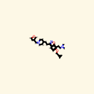 CN(C)CCc1c(OCC2CC2)ccc2c(CCC3CCN(CC4CCOC4)CC3)noc12